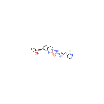 CN1C(=O)[C@H](NC(=O)n2cc(Cc3cccnc3F)cn2)CCc2ccc(C#CC3(O)COC3)cc21